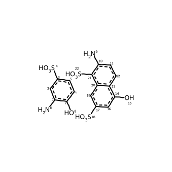 Nc1cc(S(=O)(=O)O)ccc1O.Nc1ccc2c(O)cc(S(=O)(=O)O)cc2c1S(=O)(=O)O